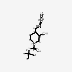 CC(C)(C)OC(=O)N1CCC(CN=[N+]=[N-])C(O)C1